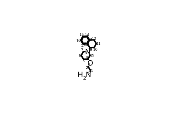 NCCOC1CCCN(C2CCCc3ccccc32)C1